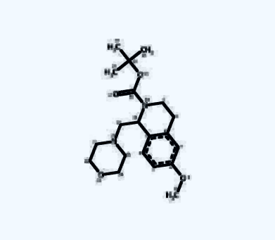 COc1ccc2c(c1)CCN(C(=O)OC(C)(C)C)C2CN1CCOCC1